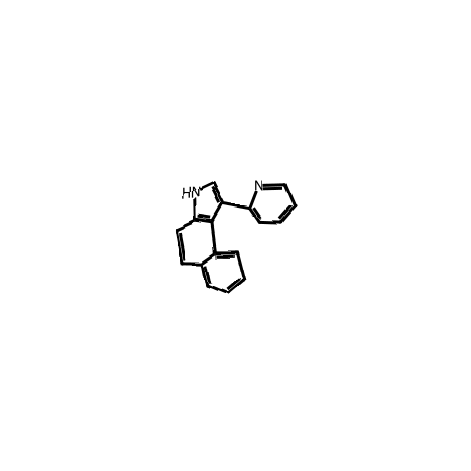 c1ccc(-c2c[nH]c3ccc4ccccc4c23)nc1